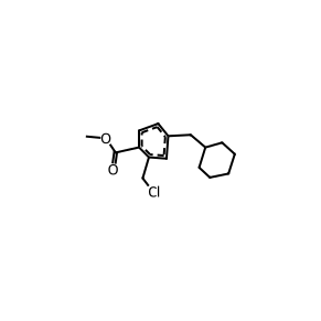 COC(=O)c1ccc(CC2CCCCC2)cc1CCl